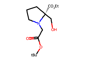 CCOC(=O)[C@@]1(CO)CCCN1CC(=O)OC(C)(C)C